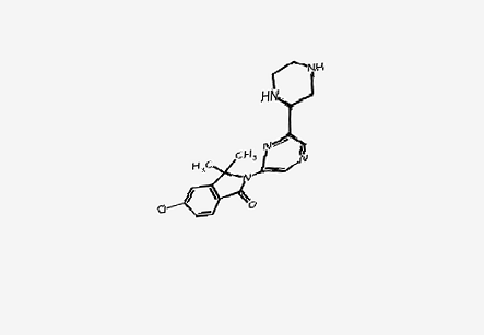 CC1(C)c2cc(Cl)ccc2C(=O)N1c1cncc(C2CNCCN2)n1